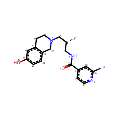 C[C@H](CNC(=O)c1ccnc(I)c1)CN1CCc2cc(O)ccc2C1